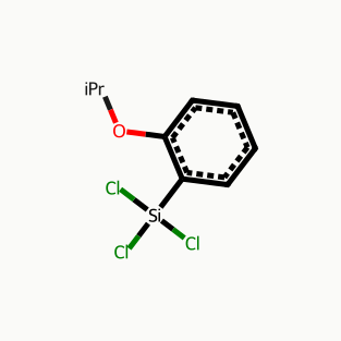 CC(C)Oc1ccccc1[Si](Cl)(Cl)Cl